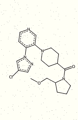 COCC1CCCN1C(=O)C1CCN(c2cnccc2-n2cc(Cl)cn2)CC1